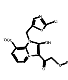 CCSCC(=O)c1c(O)n(Cc2cnc(Cl)s2)c2c(C(=O)[O-])ccc[n+]12